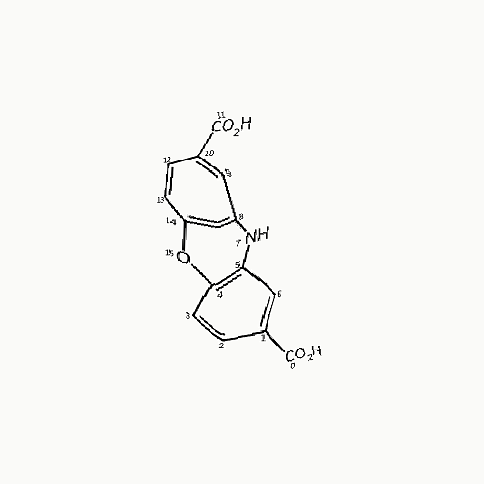 O=C(O)c1ccc2c(c1)Nc1cc(C(=O)O)ccc1O2